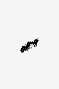 O=S(=O)(N[C@@H]1CCN(CCCc2noc3cc(F)ccc23)C1)c1ccc2ccccc2c1